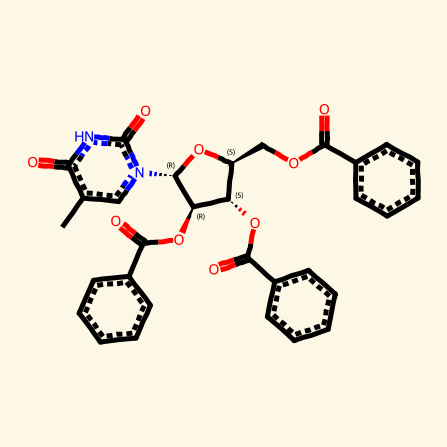 Cc1cn([C@@H]2O[C@@H](COC(=O)c3ccccc3)[C@H](OC(=O)c3ccccc3)[C@H]2OC(=O)c2ccccc2)c(=O)[nH]c1=O